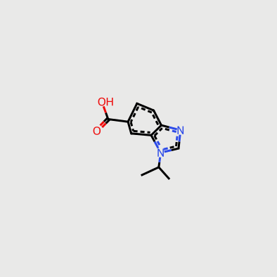 CC(C)n1cnc2ccc(C(=O)O)cc21